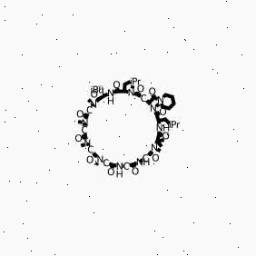 CC[C@H](C)C1NC(=O)C(CC(C)C)N(C)C(=O)CC(C(=O)N2CCCCC2)N(C)C(=O)C(CC(C)C)NC(=O)C(C)(C)N(C)C(=O)CNC(=O)CNC(=O)CN(C)C(=O)CN(C)C(=O)CN(C)C(=O)CN(C)C1=O